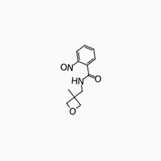 CC1(CNC(=O)c2ccccc2N=O)COC1